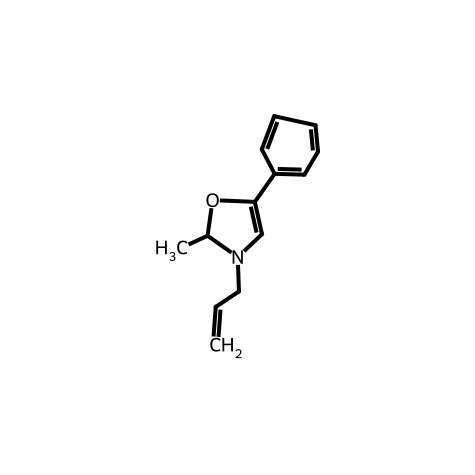 C=CCN1C=C(c2ccccc2)OC1C